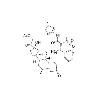 CC(=O)OCC(=O)[C@@]1(O)CC[C@H]2[C@@H]3C[C@H](C)C4=CC(=O)C=C[C@]4(C)[C@H]3[C@@H](O)C[C@@]21C.Cc1cnc(NC(=O)C2=C(O)c3ccccc3S(=O)(=O)N2C)s1